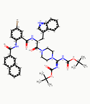 CC(C)(C)OC(=O)/N=C(/NC(=O)OC(C)(C)C)N1CCN(C(=O)[C@H](Cc2c[nH]c3ccccc23)NC(=O)c2cc(Br)ccc2NC(=O)c2ccc3ccccc3c2)CC1